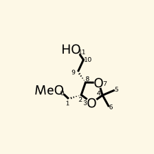 COC[C@H]1OC(C)(C)O[C@H]1CCO